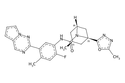 Cc1nnc([C@]23C[C@@H](C)C[C@H](C2)N3C(=O)Nc2cc(-c3ncc4cccn4n3)c(C)cc2F)o1